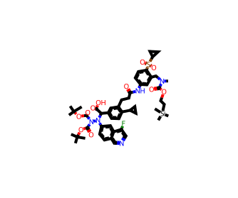 CN(Cc1cc(NC(=O)CCc2cc(C(C(=O)O)N(c3ccc4cncc(F)c4c3)N(C(=O)OC(C)(C)C)C(=O)OC(C)(C)C)ccc2C2CC2)ccc1S(=O)(=O)C1CC1)C(=O)OCC[Si](C)(C)C